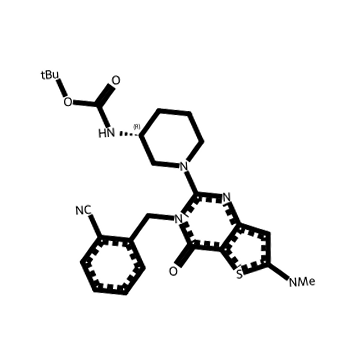 CNc1cc2nc(N3CCC[C@@H](NC(=O)OC(C)(C)C)C3)n(Cc3ccccc3C#N)c(=O)c2s1